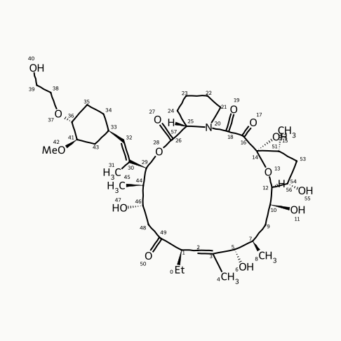 CC[C@@H]1/C=C(\C)[C@@H](O)[C@H](C)C[C@H](O)[C@H]2O[C@@](O)(C(=O)C(=O)N3CCCC[C@H]3C(=O)O[C@H](/C(C)=C/[C@@H]3CC[C@@H](OCCO)[C@H](OC)C3)[C@H](C)[C@@H](O)CC1=O)[C@H](C)C[C@@H]2O